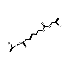 C=C(Br)COC(=O)OC=CCCOC(=O)OCC(=C)Br